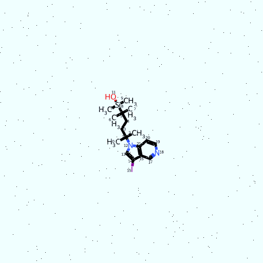 CC(C)(CCC(C)(C)[Si](C)(C)O)n1cc(I)c2cnccc21